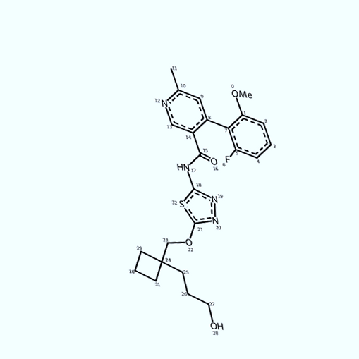 COc1cccc(F)c1-c1cc(C)ncc1C(=O)Nc1nnc(OCC2(CCCO)CCC2)s1